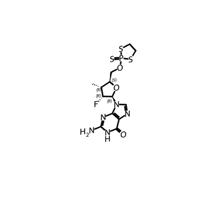 C[C@H]1[C@@H](F)[C@H](n2cnc3c(=O)[nH]c(N)nc32)O[C@@H]1COP1(=S)SCCS1